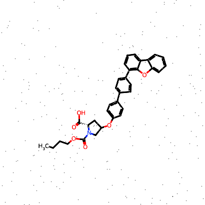 CCCCOC(=O)N1CC(Oc2ccc(-c3ccc(-c4cccc5c4oc4ccccc45)cc3)cc2)C[C@H]1C(=O)O